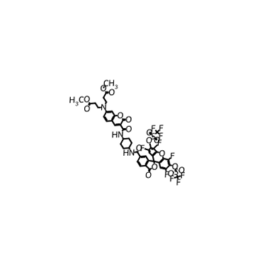 COC(=O)CCN(CCC(=O)OC)c1ccc2cc(C(=O)NC3CCC(NC(=O)c4ccc5c(c4)C4(OC5=O)c5cc(F)c(OS(=O)(=O)C(F)(F)F)c(F)c5Oc5c4cc(F)c(OS(=O)(=O)C(F)(F)F)c5F)CC3)c(=O)oc2c1